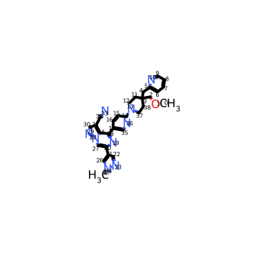 COCC1(Cc2ccccn2)CCN(c2ccc(-c3nc(-c4cnn(C)c4)cn4ncc(C#N)c34)cn2)CC1